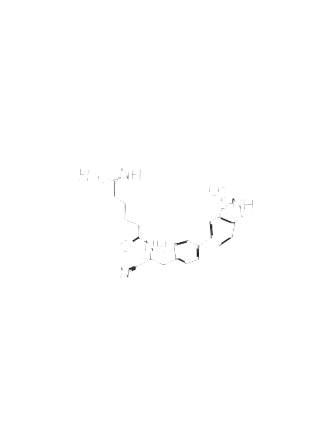 C[C@H](N)CCCCC(=O)NC(C#N)Cc1ccc(-c2ccc3c(c2)[S+]([O-])NC3)cc1